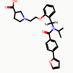 [2H]C([2H])(c1ccccc1OCCN1CCC(C(=O)O)C1)N(C(=O)c1ccc(-c2ccco2)cc1)C(C)C